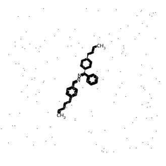 C=CCCCc1ccc(C=NN=C(c2ccccc2)[C@H]2CC[C@H](CCCC)CC2)cc1